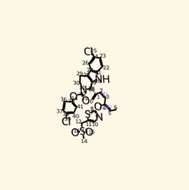 C=C(/C=C\C(=C/C)Oc1ncc(CS(C)(=O)=O)s1)[C@H]1c2[nH]c3ccc(Cl)cc3c2CCN1C(=O)Oc1ccc(Cl)cc1